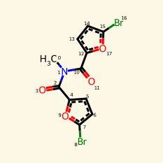 CN(C(=O)c1ccc(Br)o1)C(=O)c1ccc(Br)o1